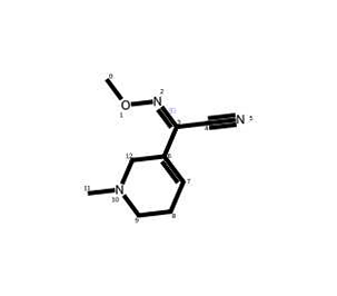 CO/N=C(/C#N)C1=CCCN(C)C1